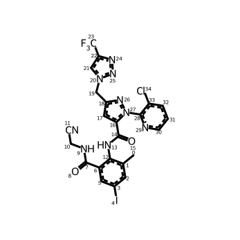 Cc1cc(I)cc(C(=O)NCC#N)c1NC(=O)c1cc(Cn2cc(C(F)(F)F)nn2)nn1-c1ncccc1Cl